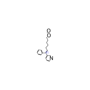 O=COCCCCC/C=C(\c1ccccc1)c1cccnc1